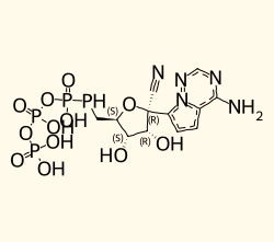 N#C[C@@]1(c2ccc3c(N)ncnn23)O[C@H](CPP(=O)(O)OP(=O)(O)OP(=O)(O)O)[C@@H](O)[C@H]1O